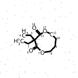 CCC1(CC)C(=O)OCCCCOC1=O